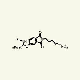 CCCCCC(NCC)Oc1ccc2c(c1)C(=O)N(CCCCO[N+](=O)[O-])C2=O